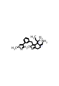 CC/C(C)=C1/C(=C\N)CCc2nn(C)c(Cc3cccc(-c4cnn(C)c4)c3)c21